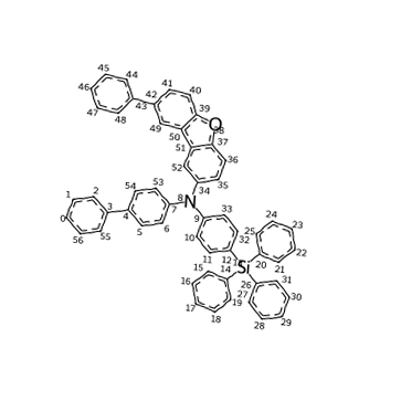 c1ccc(-c2ccc(N(c3ccc([Si](c4ccccc4)(c4ccccc4)c4ccccc4)cc3)c3ccc4oc5ccc(-c6ccccc6)cc5c4c3)cc2)cc1